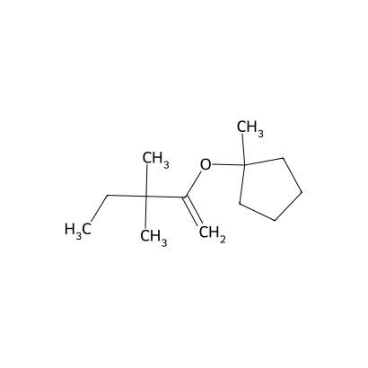 C=C(OC1(C)CCCC1)C(C)(C)CC